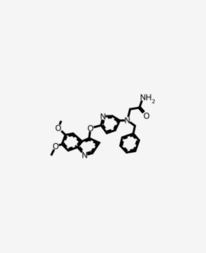 COc1cc2nccc(Oc3ccc(N(CC(N)=O)Cc4ccccc4)cn3)c2cc1OC